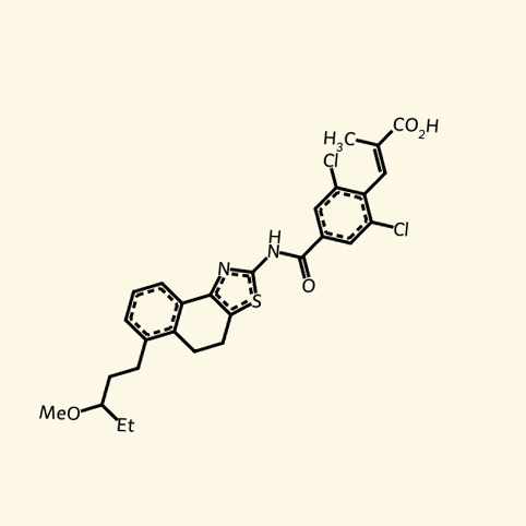 CCC(CCc1cccc2c1CCc1sc(NC(=O)c3cc(Cl)c(/C=C(\C)C(=O)O)c(Cl)c3)nc1-2)OC